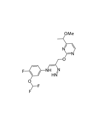 COC(C)c1ccnc(OC/C(=C/Nc2ccc(F)c(OC(F)F)c2)N=N)n1